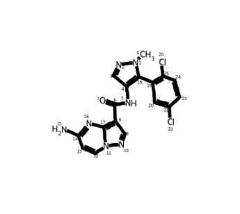 Cn1ncc(NC(=O)c2cnn3ccc(N)nc23)c1-c1cc(Cl)ccc1Cl